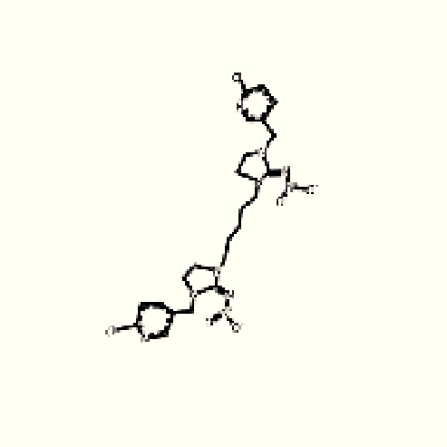 O=[N+]([O-])N=C1N(CCCCCN2CCN(Cc3ccc(Cl)nc3)C2=N[N+](=O)[O-])CCN1Cc1ccc(Cl)nc1